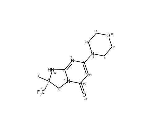 C[C@]1(C(F)(F)F)Cn2c(nc(N3CCOCC3)cc2=O)N1